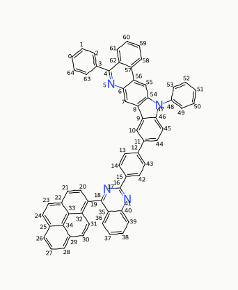 c1ccc(-c2nc3cc4c5cc(-c6ccc(-c7nc(-c8ccc9ccc%10cccc%11ccc8c9c%10%11)c8ccccc8n7)cc6)ccc5n(-c5ccccc5)c4cc3c3ccccc23)cc1